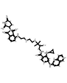 CC(C)(OCCOCCNc1cccc2c1C(=O)N(C1CCC(=O)NC1=O)C2=O)C(F)CNC(=O)c1cnc(Nc2ccc3cnccc3n2)cc1NC1CC1